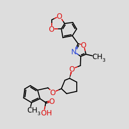 Cc1cccc(COC2CCC[C@H](OCc3nc(-c4ccc5c(c4)OCO5)oc3C)C2)c1C(=O)O